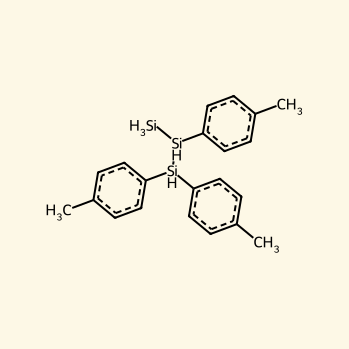 Cc1ccc([SiH]([SiH3])[SiH](c2ccc(C)cc2)c2ccc(C)cc2)cc1